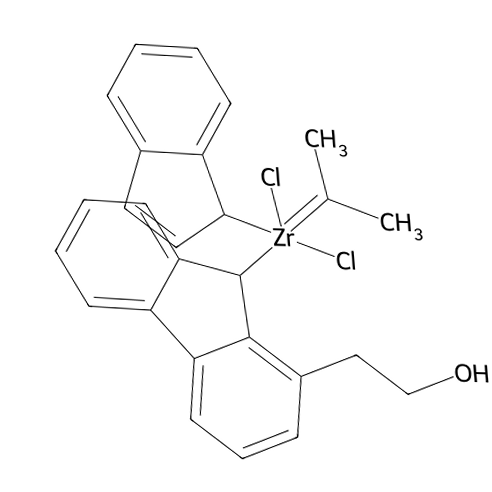 C[C](C)=[Zr]([Cl])([Cl])([CH]1C=Cc2ccccc21)[CH]1c2ccccc2-c2cccc(CCO)c21